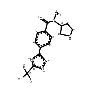 CN(C(=O)c1ccc(-c2noc(C(F)(F)F)n2)cc1)C1CCOC1